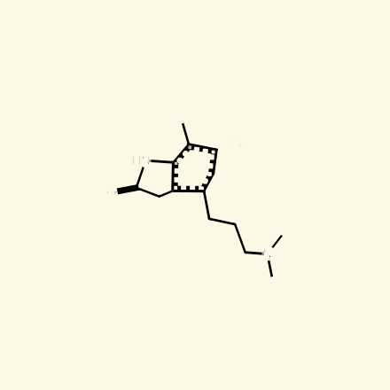 Br.CN(C)CCCc1ccc(O)c2c1CC(=O)N2